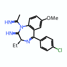 CC[C@@H]1N=C(c2ccc(Cl)cc2)c2cc(OC)ccc2N(C(C)=N)C1=N